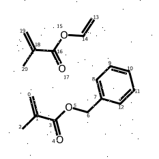 C=C(C)C(=O)OCc1ccccc1.C=COC(=O)C(=C)C